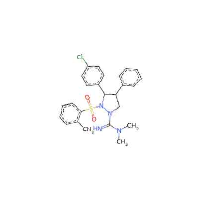 Cc1ccccc1S(=O)(=O)N1C(c2ccc(Cl)cc2)C(c2ccccc2)CN1C(=N)N(C)C